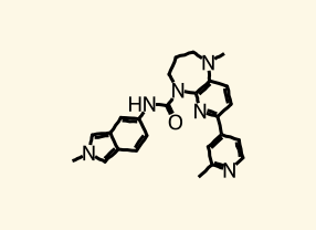 Cc1cc(-c2ccc3c(n2)N(C(=O)Nc2ccc4cn(C)cc4c2)CCCN3C)ccn1